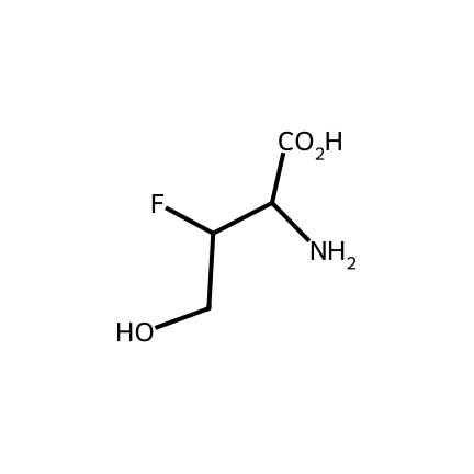 NC(C(=O)O)C(F)CO